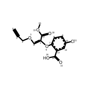 C#CCOC=C(Oc1ccc(Cl)cc1C(=O)O)C(=O)OC